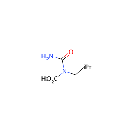 CC(C)CN(C(N)=O)C(=O)O